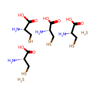 N[C@@H](CS)C(=O)O.N[C@@H](CS)C(=O)O.N[C@@H](CS)C(=O)O.N[C@@H](CS)C(=O)O.S.S